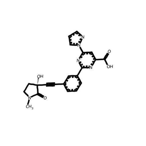 CN1CC[C@@](O)(C#Cc2cccc(-c3nc(C(=O)O)cc(-n4cccn4)n3)c2)C1=O